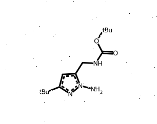 CC(C)(C)OC(=O)NCc1cc(C(C)(C)C)nn1N